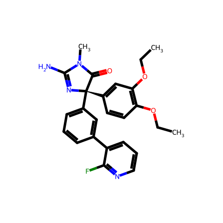 CCOc1ccc([C@@]2(c3cccc(-c4cccnc4F)c3)N=C(N)N(C)C2=O)cc1OCC